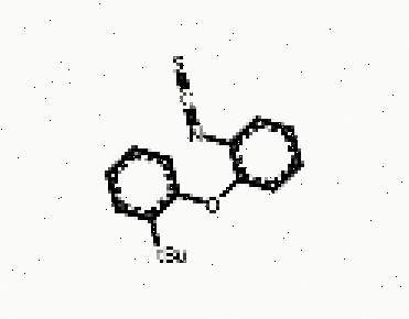 CC(C)(C)c1ccccc1Oc1ccccc1N=C=S